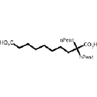 CCCCCC(CCCCC)(CCCCCCCC(=O)O)C(=O)O